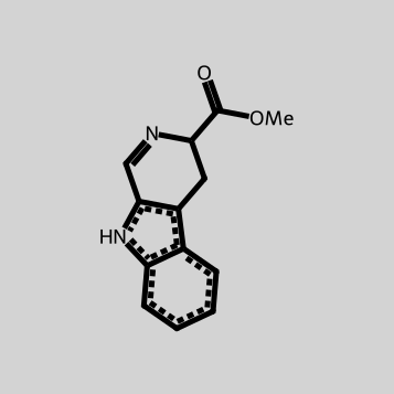 COC(=O)C1Cc2c([nH]c3ccccc23)C=N1